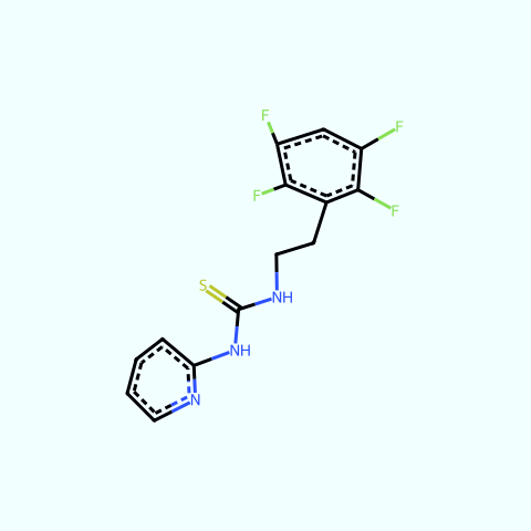 Fc1cc(F)c(F)c(CCNC(=S)Nc2ccccn2)c1F